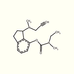 C#CCN(C)C1CCc2cccc(OC(=O)N(C)CC)c21